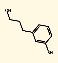 OCCCc1cccc(S)c1